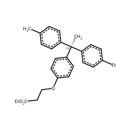 CCOC(=O)CCOc1ccc([C@@](C)(c2ccc(C)cc2)c2ccc(CC)cc2)cc1